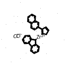 C1=CC(c2ccc3ccccc3c2)=[C]([Zr+2][CH]2c3ccccc3-c3ccccc32)C1.[Cl-].[Cl-]